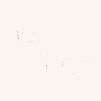 COc1ccc2ccc(OC(=O)c3ccc(C(C)=O)cc3)cc2c1